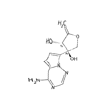 C=C1OC[C@](O)(c2ccc3c(N)ncnn23)[C@@H]1O